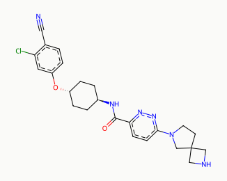 N#Cc1ccc(O[C@H]2CC[C@H](NC(=O)c3ccc(N4CCC5(CNC5)C4)nn3)CC2)cc1Cl